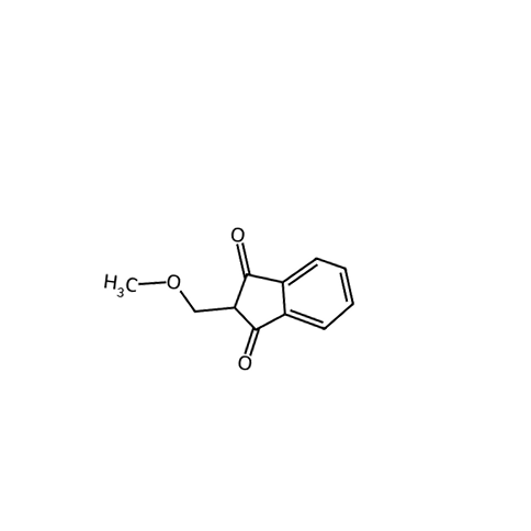 COCC1C(=O)c2ccccc2C1=O